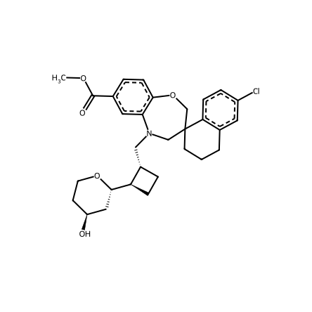 COC(=O)c1ccc2c(c1)N(C[C@@H]1CC[C@H]1[C@@H]1C[C@@H](O)CCO1)CC1(CCCc3cc(Cl)ccc31)CO2